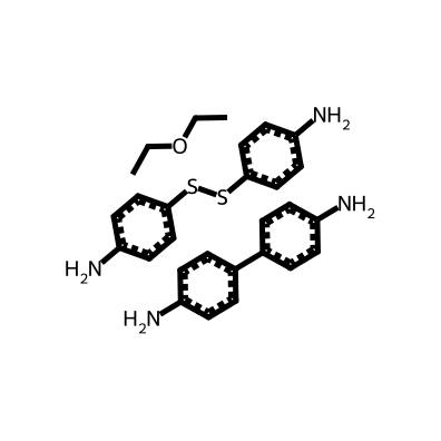 CCOCC.Nc1ccc(-c2ccc(N)cc2)cc1.Nc1ccc(SSc2ccc(N)cc2)cc1